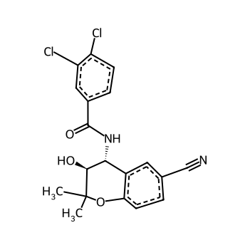 CC1(C)Oc2ccc(C#N)cc2[C@@H](NC(=O)c2ccc(Cl)c(Cl)c2)[C@@H]1O